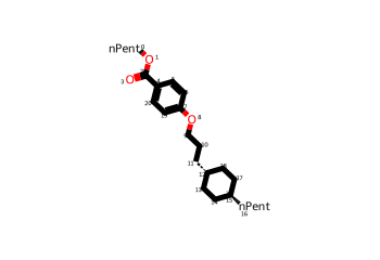 CCCCCOC(=O)c1ccc(OCCC[C@H]2CC[C@H](CCCCC)CC2)cc1